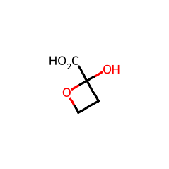 O=C(O)C1(O)CCO1